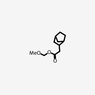 COCOC(=O)CC1CC2CCC1C2